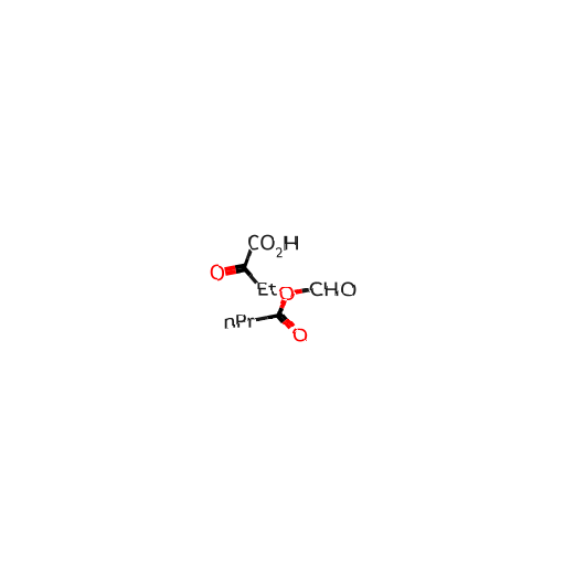 CCC(=O)C(=O)O.CCCC(=O)OC=O